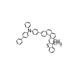 C=c1/c(=C\c2c(C)ccc3ccc4cc(-c5ccc(N(c6ccccc6)c6ccc(-c7ccccc7)cc6)cc5)ccc4c23)sc2ccccc12